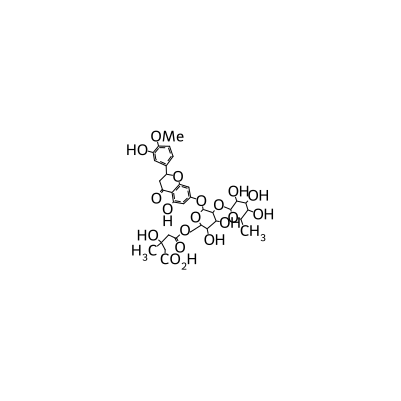 COc1ccc(C2CC(=O)c3c(O)cc(OC4OC(COC(=O)CC(C)(O)CC(=O)O)C(O)C(O)C4OC4OC(C)C(O)C(O)C4O)cc3O2)cc1O